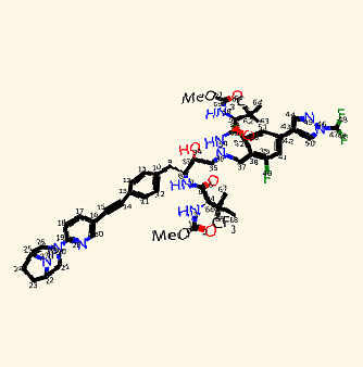 COC(=O)N[C@H](C(=O)N[C@@H](Cc1ccc(C#Cc2ccc(N3CC4CCC(C3)N4C(C)C)nc2)cc1)[C@@H](O)CN(Cc1c(F)cc(-c2cnn(C(F)F)c2)cc1F)NC(=O)[C@@H](NC(=O)OC)C(C)(C)C(F)(F)F)C(C)(C)C(F)(F)F